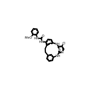 COc1ccccc1NC(=O)Nc1ccc2cc1CCc1cccc(c1)Nc1ncc(Cl)c(n1)N2